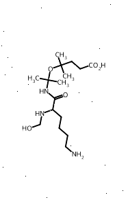 CC(C)(CCC(=O)O)OC(C)(C)NC(=O)C(CCCCN)NCO